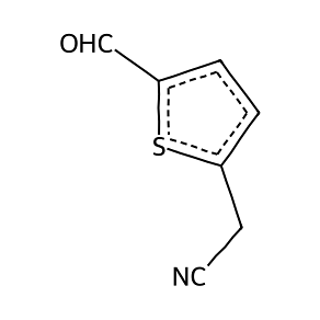 N#CCc1ccc(C=O)s1